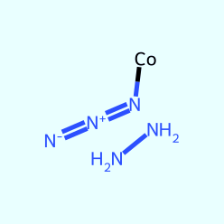 NN.[N-]=[N+]=[N][Co]